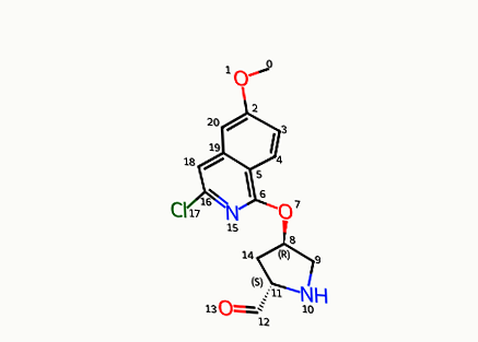 COc1ccc2c(O[C@H]3CN[C@H](C=O)C3)nc(Cl)cc2c1